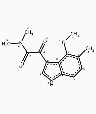 COc1c(C)ccc2[nH]cc(C(=O)C(=O)N(C)C)c12